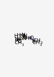 Cc1ccnc(NC(=O)c2ccc(-c3nn(C4CC5CN(C(=O)/C=C/CN(C)C)CC5C4)c4ncnc(N)c34)cc2)c1